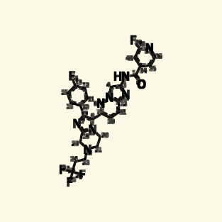 O=C(Nc1cn2nc(-c3c(-c4ccc(F)cc4)nc4n3CCN(CCC(F)(F)F)C4)ccc2n1)c1ccnc(F)c1